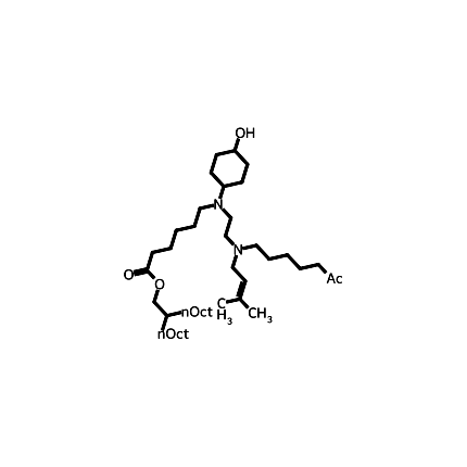 CCCCCCCCC(CCCCCCCC)COC(=O)CCCCCN(CCN(CC=C(C)C)CCCCCC(C)=O)C1CCC(O)CC1